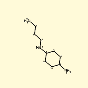 NCCCNC1CCC(N)CC1